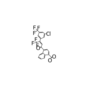 COC(=O)c1ccc(C(=O)C=C(c2cc(Cl)cc(C(F)(F)F)c2)C(F)(F)F)c2ccccc12